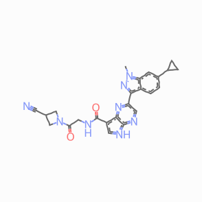 Cn1nc(-c2cnc3[nH]cc(C(=O)NCC(=O)N4CC(C#N)C4)c3n2)c2ccc(C3CC3)cc21